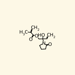 C=CC(O)(COC(=O)C(=C)C)N1CCCC1=O